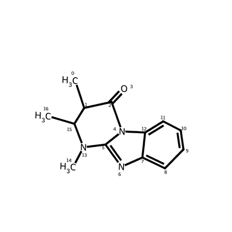 CC1C(=O)n2c(nc3ccccc32)N(C)C1C